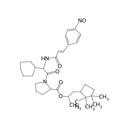 CC(CC1CCC(C)(C)C1(C)C)OC(=O)C1CCCN1C(=O)C(NC(=O)/C=C/c1ccc(N=O)cc1)C1CCCCC1